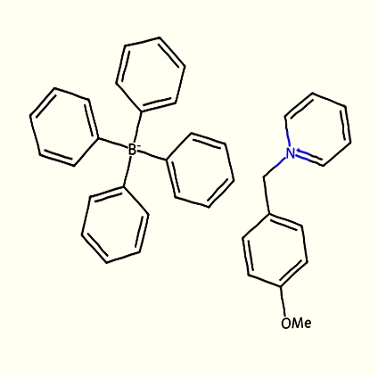 COc1ccc(C[n+]2ccccc2)cc1.c1ccc([B-](c2ccccc2)(c2ccccc2)c2ccccc2)cc1